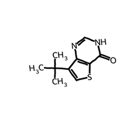 CC(C)(C)c1csc2c(=O)[nH]cnc12